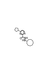 O=C(NBC1CCCCCCCC1)c1nccc(C2CCCC2)n1